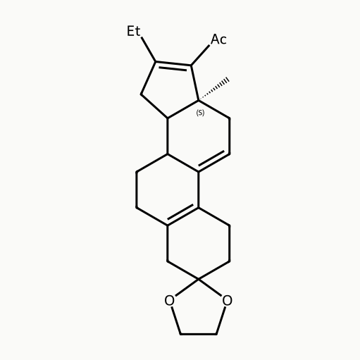 CCC1=C(C(C)=O)[C@@]2(C)CC=C3C4=C(CCC3C2C1)CC1(CC4)OCCO1